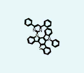 c1ccc(-c2cc(-c3ccccc3)nc(-n3c4ccccc4c4c5sc6ccccc6c5c5c(c6ccccc6n5-c5ccccc5)c43)n2)cc1